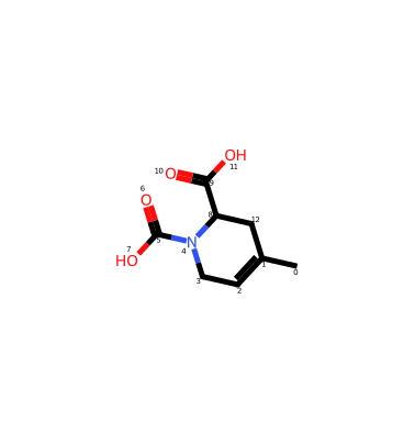 CC1=CCN(C(=O)O)C(C(=O)O)C1